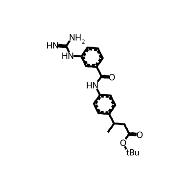 CC(CC(=O)OC(C)(C)C)c1ccc(NC(=O)c2cccc(NC(=N)N)c2)cc1